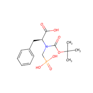 CC(C)(C)OC(=O)N(CP(=O)(O)O)[C@@H](Cc1ccccc1)C(=O)O